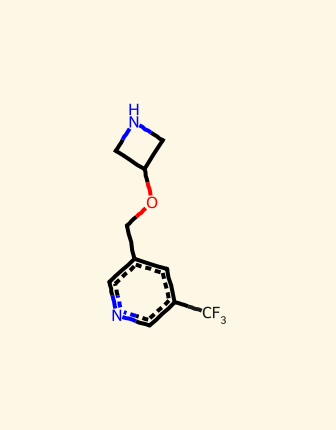 FC(F)(F)c1cncc(COC2CNC2)c1